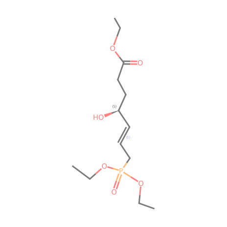 CCOC(=O)CC[C@H](O)/C=C/CP(=O)(OCC)OCC